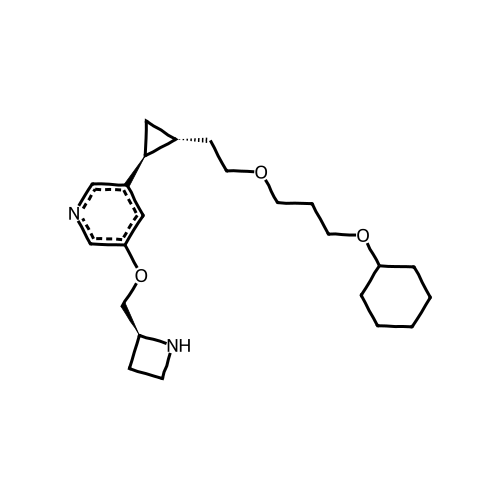 c1ncc([C@H]2C[C@@H]2CCOCCCOC2CCCCC2)cc1OC[C@@H]1CCN1